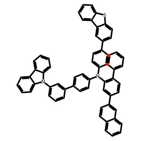 c1ccc(-c2ccc(-c3ccc4ccccc4c3)cc2N(c2ccc(-c3cccc(-n4c5ccccc5c5ccccc54)c3)cc2)c2ccc(-c3ccc4sc5ccccc5c4c3)cc2)cc1